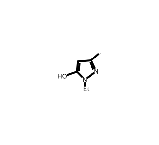 [CH2]c1cc(O)n(CC)n1